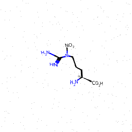 N=C(N)N(CCC[C@H](N)C(=O)O)[N+](=O)[O-]